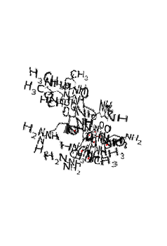 CC[C@H](C)C(N)C(=O)C(NC(=O)C(NC(=O)C(NC(C)=O)C(=O)[C@@H](N)CCCNC(N)N)C(=O)[C@@H](N)CC(N)=O)C(=O)NC(CC(=O)[C@H](C)NC)C(=O)NC(C(=O)NC(CC(=O)[C@@H](N)Cc1c[nH]cn1)C(=O)NC(N[C@H](C=O)CC(C)C)C(=O)NC(CC(=O)[C@H](C)NC)C(=O)NC)C(=O)[C@@H](N)CCCNC(N)N